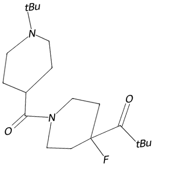 CC(C)(C)C(=O)C1(F)CCN(C(=O)C2CCN(C(C)(C)C)CC2)CC1